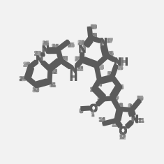 COc1cc2c(cc1-c1c(C)noc1C)[nH]c1nc(C)nc(Nc3c(C)nn4ccccc34)c12